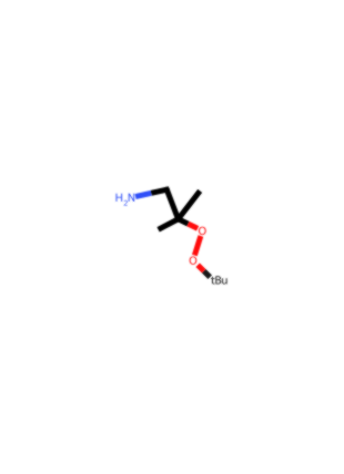 CC(C)(C)OOC(C)(C)CN